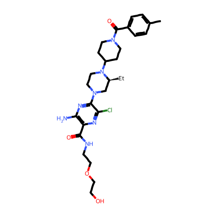 CC[C@H]1CN(c2nc(N)c(C(=O)NCCOCCO)nc2Cl)CCN1C1CCN(C(=O)c2ccc(C)cc2)CC1